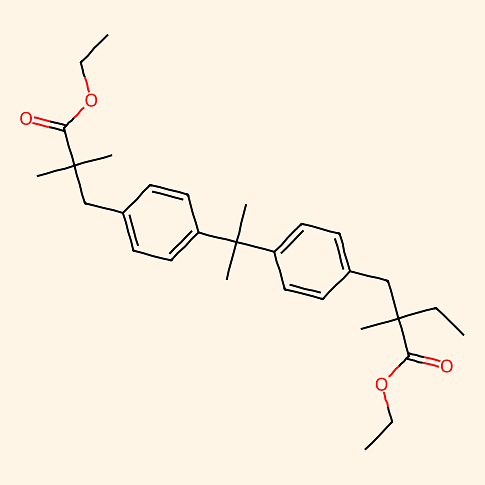 CCOC(=O)C(C)(C)Cc1ccc(C(C)(C)c2ccc(CC(C)(CC)C(=O)OCC)cc2)cc1